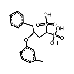 Cc1cccc(OC(Cc2ccccc2)CC(P(=O)(O)O)S(=O)(=O)O)c1